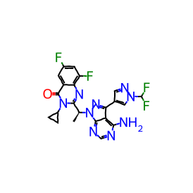 C[C@@H](c1nc2c(F)cc(F)cc2c(=O)n1C1CC1)n1nc(-c2cnn(C(F)F)c2)c2c(N)ncnc21